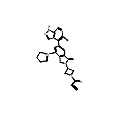 C=CC(=O)N1CC(N2Cc3c(cc(-c4c(C)ccc5[nH]ncc45)cc3N3CCCC3)C2=O)C1